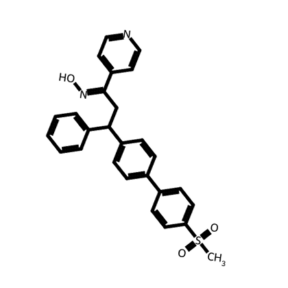 CS(=O)(=O)c1ccc(-c2ccc(C(CC(=NO)c3ccncc3)c3ccccc3)cc2)cc1